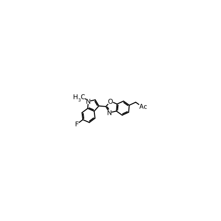 CC(=O)Cc1ccc2nc(-c3cn(C)c4cc(F)ccc34)oc2c1